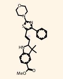 COC(=O)c1ccc2c(c1)C(C)(C)C(/C=C/c1sc(N3CCOCC3)nc1-c1ccccc1)N2